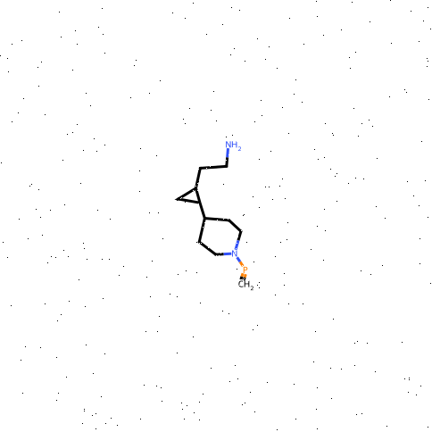 C=PN1CCC(C2CC2CCN)CC1